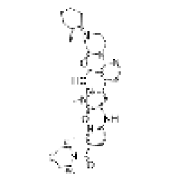 C[C@@H]1COC[C@H](C)N1C(=O)c1ccc(Nc2cc(-c3ccnc(N4CCn5c(cc6c5CCCC6)C4=O)c3CO)nn(C)c2=O)nc1